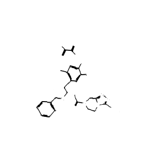 C[C@H](N[C@@H](CC(=O)N1CCn2c(nnc2C(F)(F)F)C1)Cc1cc(F)c(F)cc1F)c1ccccc1.O=C(O)C(=O)O